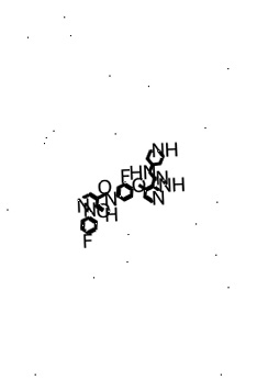 O=C(Nc1ccc(Oc2ccnc3[nH]nc(NC4CCNCC4)c23)c(F)c1)c1ccnn(-c2ccc(F)cc2)c1=O